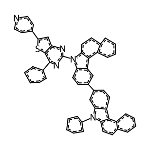 c1ccc(-c2nc(-n3c4ccc(-c5ccc6c7c8ccccc8ccc7n(-c7ccccc7)c6c5)cc4c4c5ccccc5ccc43)nc3cc(-c4ccncc4)sc23)cc1